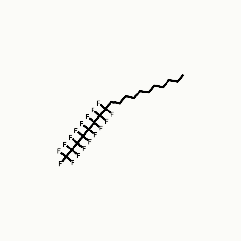 CCCCCCCCCCCC(F)(F)C(F)(F)C(F)(F)C(F)(F)C(F)(F)C(F)(F)C(F)(F)C(F)(F)F